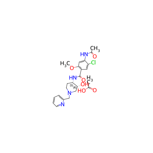 CC(=O)O.COc1cc(NC(C)=O)c(Cl)cc1C(=O)N[C@H]1CCN(Cc2ccccn2)C[C@H]1O